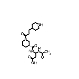 CC(=O)NC(CC(=O)O)NC(=O)[C@@H]1CCCN(C(=O)CCC2CCNCC2)C1